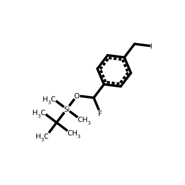 CC(C)(C)[Si](C)(C)OC(F)c1ccc(CI)cc1